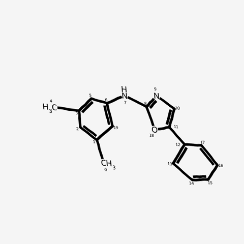 Cc1cc(C)cc(Nc2ncc(-c3ccccc3)o2)c1